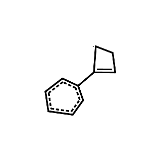 [CH]1CC=C1c1ccccc1